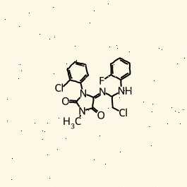 CN1C(=O)C(=NC(CCl)Nc2ccccc2F)N(c2ccccc2Cl)C1=O